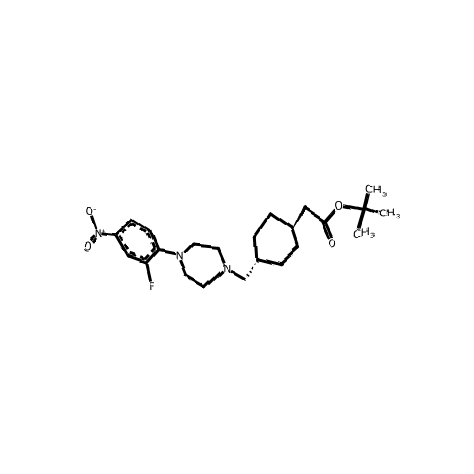 CC(C)(C)OC(=O)C[C@H]1CC[C@H](CN2CCN(c3ccc([N+](=O)[O-])cc3F)CC2)CC1